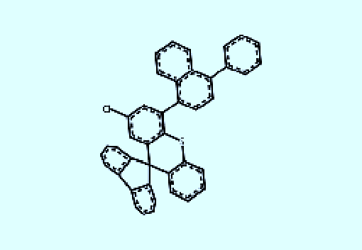 Clc1cc(-c2ccc(-c3ccccc3)c3ccccc23)c2c(c1)C1(c3ccccc3S2)c2ccccc2-c2ccccc21